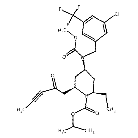 CC#CC(=O)C[C@H]1C[C@@H](N(Cc2cc(Cl)cc(C(F)(F)F)c2)C(=O)OC)C[C@@H](CC)N1C(=O)OC(C)C